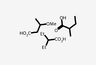 CCC(C)C(=O)O.CCC(CC)C(=O)O.COC(C)CC(=O)O